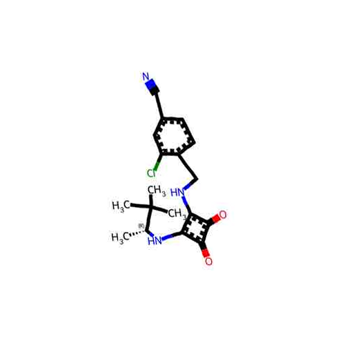 C[C@@H](Nc1c(NCc2ccc(C#N)cc2Cl)c(=O)c1=O)C(C)(C)C